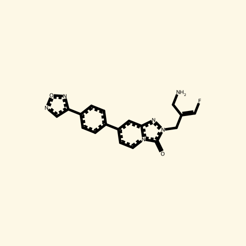 NC/C(=C\F)Cn1nc2cc(-c3ccc(-c4cnon4)cc3)ccn2c1=O